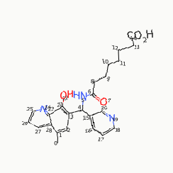 Cc1cc(C(NC(=O)CCCCCCC(=O)O)c2cccnc2)c(O)c2ncccc12